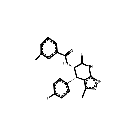 Cc1cccc(C(=O)N[C@@H]2C(=O)Nc3[nH]nc(C)c3[C@@H]2c2ccc(F)cc2)c1